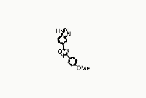 COc1ccc(-c2noc(-c3ccc4[nH]nnc4c3)n2)cc1